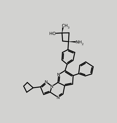 C[C@]1(O)C[C@@](N)(c2ccc(-c3nc4c(cnc5cc(C6CCC6)nn54)cc3-c3ccccc3)cc2)C1